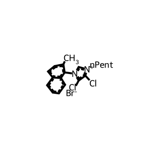 CCCCC[n+]1cn(-c2c(C)ccc3ccccc23)c(Cl)c1Cl.[Br-]